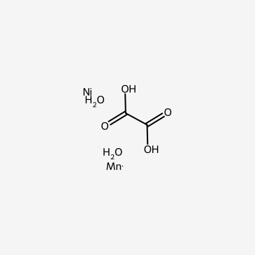 O.O.O=C(O)C(=O)O.[Mn].[Ni]